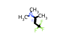 C/C(=C\C(F)(F)F)N(C)C